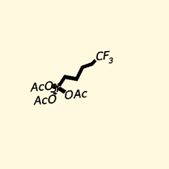 CC(=O)O[Si](CCCCC(F)(F)F)(OC(C)=O)OC(C)=O